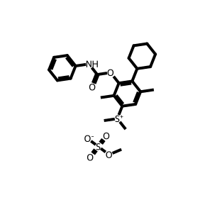 COS(=O)(=O)[O-].Cc1cc([S+](C)C)c(C)c(OC(=O)Nc2ccccc2)c1C1CCCCC1